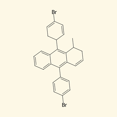 CC1CC=Cc2c1c(C1C=CC(Br)=CC1)c1ccccc1c2-c1ccc(Br)cc1